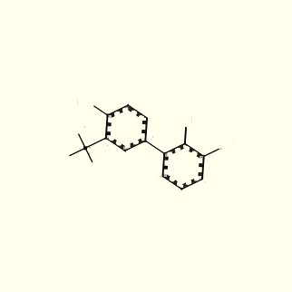 Cc1[c]cc(-c2cccc(Cl)c2C)cc1C(F)(F)F